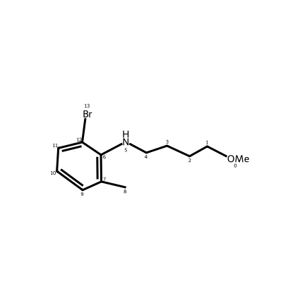 COCCCCNc1c(C)cccc1Br